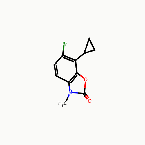 Cn1c(=O)oc2c(C3CC3)c(Br)ccc21